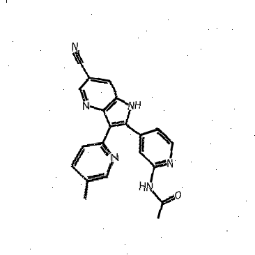 CC(=O)Nc1cc(-c2[nH]c3cc(C#N)cnc3c2-c2ccc(C)cn2)ccn1